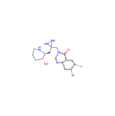 O=c1c2cc(Cl)c(Br)cc2ncn1CC1(C[C@@H]2NCCC[C@H]2O)NN1